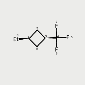 CC[C@H]1C[C@@H](C(F)(F)F)C1